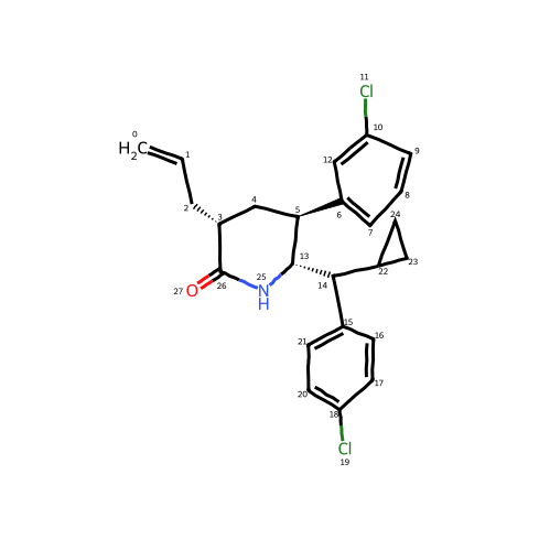 C=CC[C@@H]1C[C@@H](c2cccc(Cl)c2)[C@H](C(c2ccc(Cl)cc2)C2CC2)NC1=O